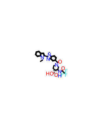 CCn1c(-c2nc3cc(C(=O)N4CC[C@@H](C(=O)O)[C@@H](NC(=O)C(F)(F)F)C4)ccc3n2C)cc2ccccc21